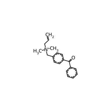 C=CC[N+](C)(C)Cc1ccc(C(=O)c2ccccc2)cc1